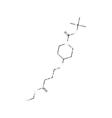 CCOC(=O)CCCOC1CCN(C(=O)OC(C)(C)C)CC1